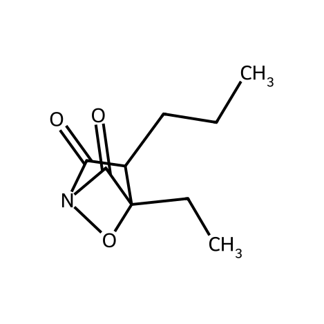 CCCC1C(=O)N2OC1(CC)C2=O